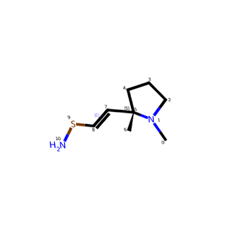 CN1CCC[C@@]1(C)/C=C/SN